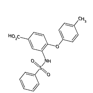 Cc1ccc(Oc2ccc(C(=O)O)cc2NS(=O)(=O)c2ccccc2)cc1